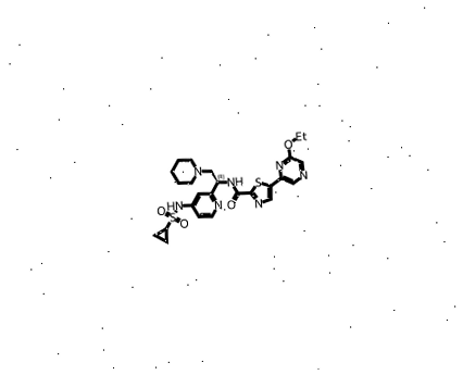 CCOc1cncc(-c2cnc(C(=O)N[C@H](CN3CCCCC3)c3cc(NS(=O)(=O)C4CC4)ccn3)s2)n1